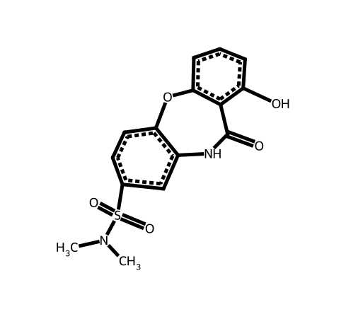 CN(C)S(=O)(=O)c1ccc2c(c1)NC(=O)c1c(O)cccc1O2